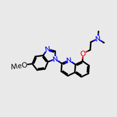 COc1ccc2c(c1)ncn2-c1ccc2cccc(OCCN(C)C)c2n1